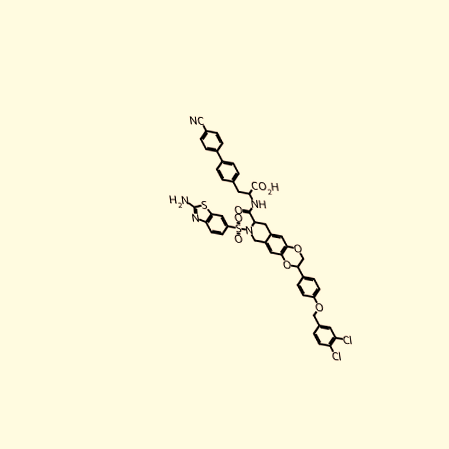 N#Cc1ccc(-c2ccc(CC(NC(=O)C3Cc4cc5c(cc4CN3S(=O)(=O)c3ccc4nc(N)sc4c3)OC(c3ccc(OCc4ccc(Cl)c(Cl)c4)cc3)CO5)C(=O)O)cc2)cc1